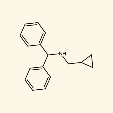 c1ccc(C(NCC2CC2)c2ccccc2)cc1